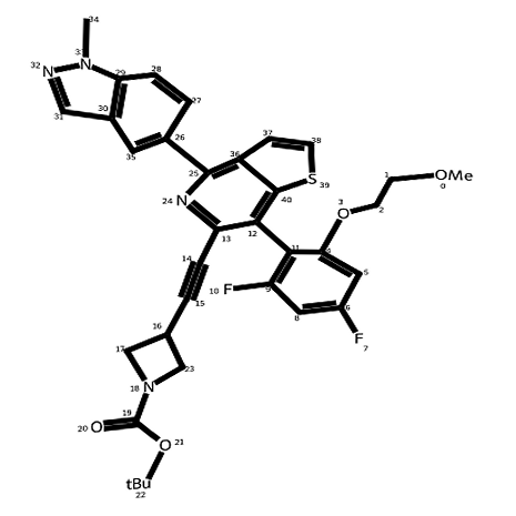 COCCOc1cc(F)cc(F)c1-c1c(C#CC2CN(C(=O)OC(C)(C)C)C2)nc(-c2ccc3c(cnn3C)c2)c2ccsc12